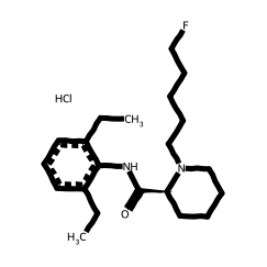 CCc1cccc(CC)c1NC(=O)[C@@H]1CCCCN1CCCCCF.Cl